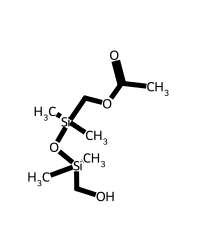 CC(=O)OC[Si](C)(C)O[Si](C)(C)CO